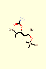 CC[C@H](C)[C@@H](O[Si](C)(C)C(C)(C)C)[C@H](C)[C@@H](OC(N)=O)[C@@H](C)C=O